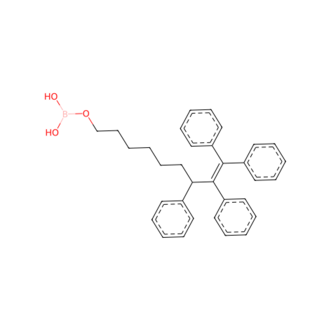 OB(O)OCCCCCCC(C(=C(c1ccccc1)c1ccccc1)c1ccccc1)c1ccccc1